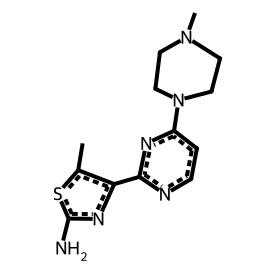 Cc1sc(N)nc1-c1nccc(N2CCN(C)CC2)n1